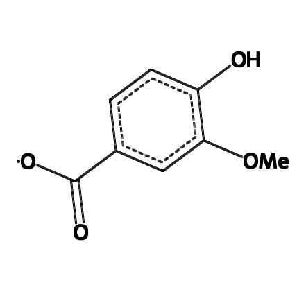 COc1cc(C([O])=O)ccc1O